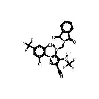 CN(CN1C(=O)c2ccccc2C1=O)c1c([S+]([O-])C(F)(F)F)c(C#N)nn1-c1c(Cl)cc(C(F)(F)F)cc1Cl